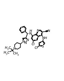 CC(C)(C)N1CCC(n2cc([C@@H](Nc3cc(Cl)cc4c(Nc5csc(Cl)c5)c(C#N)cnc34)c3ccccc3)nn2)CC1